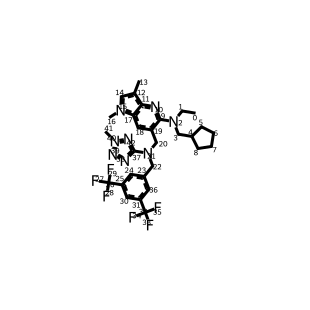 CCN(CC1CCCC1)c1nc2c(C)cn(C)c2cc1CN(Cc1cc(C(F)(F)F)cc(C(F)(F)F)c1)c1nnn(C)n1